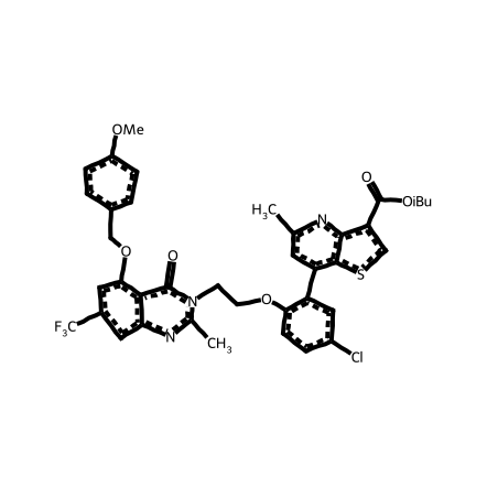 COc1ccc(COc2cc(C(F)(F)F)cc3nc(C)n(CCOc4ccc(Cl)cc4-c4cc(C)nc5c(C(=O)OCC(C)C)csc45)c(=O)c23)cc1